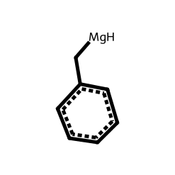 [MgH][CH2]c1ccccc1